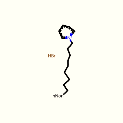 Br.CCCCCCCCCCCCCCCCCC[n+]1ccccc1